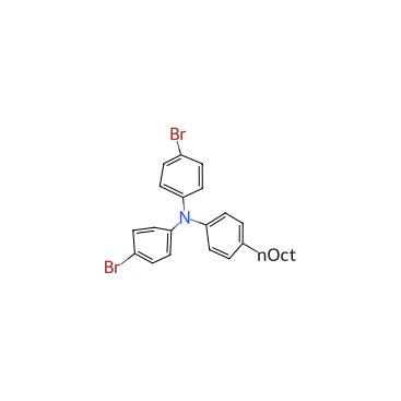 CCCCCCCCc1ccc(N(c2ccc(Br)cc2)c2ccc(Br)cc2)cc1